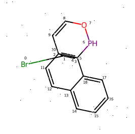 BrC1C=CCC23POC=CC12C=Cc1ccccc13